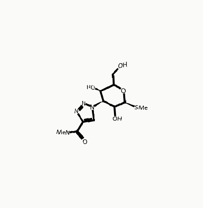 CNC(=O)c1cn([C@@H]2C(O)[C@H](SC)OC(CO)[C@@H]2O)nn1